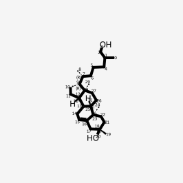 CC(CO)CCC[C@@H](C)[C@H]1CC[C@H]2C3CC=C4C[C@@](C)(O)CC[C@]4(C)[C@H]3CC[C@]12C